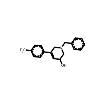 OC1C=C(c2ccc(C(F)(F)F)cc2)CN(Cc2ccccc2)C1